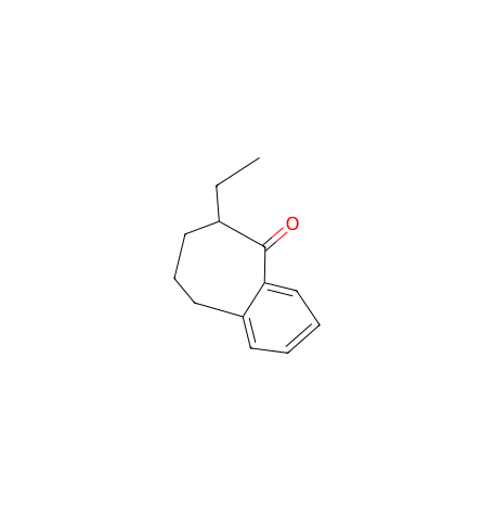 CCC1CCCc2ccccc2C1=O